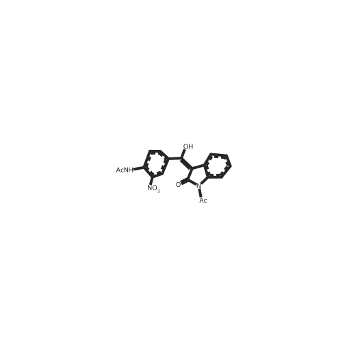 CC(=O)Nc1ccc(C(O)=C2C(=O)N(C(C)=O)c3ccccc32)cc1[N+](=O)[O-]